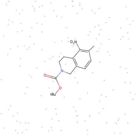 Cc1ccc2c(c1[N+](=O)[O-])CCN(C(=O)OC(C)(C)C)C2